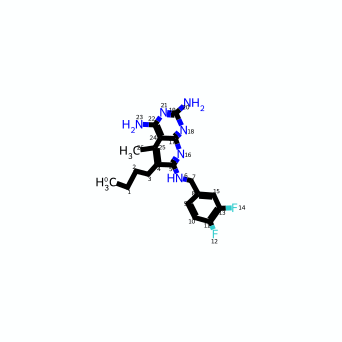 CCCCc1c(NCc2ccc(F)c(F)c2)nc2nc(N)nc(N)c2c1C